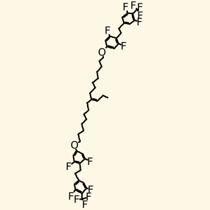 CCC=C(CCCCCCCCOc1cc(F)c(CCc2cc(F)c(C(F)(F)F)c(F)c2)c(F)c1)CCCCCCCCOc1cc(F)c(CCc2cc(F)c(C(F)(F)F)c(F)c2)c(F)c1